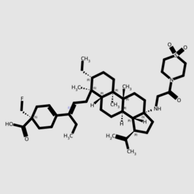 C=C(C)[C@@H]1CC[C@]2(NCC(=O)N3CCS(=O)(=O)CC3)CC[C@]3(C)[C@H](CC[C@@H]4[C@@](C)(C/C=C(\CC)C5=CC[C@](CF)(C(=O)O)CC5)[C@H](CC)CC[C@]43C)[C@@H]12